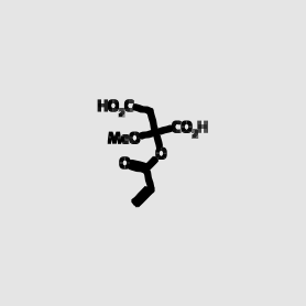 C=CC(=O)OC(CC(=O)O)(OC)C(=O)O